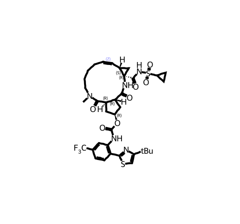 CN1CCCC/C=C\[C@@H]2C[C@@]2(C(=O)NS(=O)(=O)C2CC2)NC(=O)[C@@H]2C[C@@H](OC(=O)Nc3cc(C(F)(F)F)ccc3-c3nc(C(C)(C)C)cs3)C[C@H]2C1=O